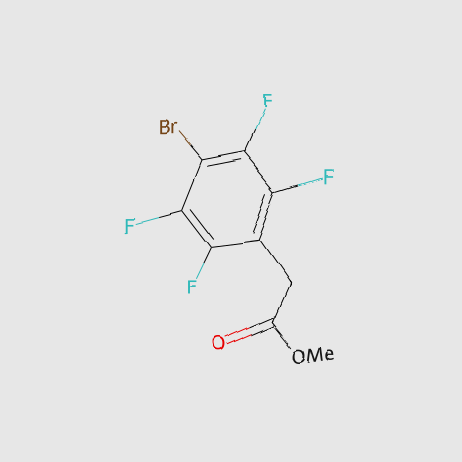 COC(=O)Cc1c(F)c(F)c(Br)c(F)c1F